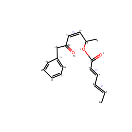 C/C=C/C=C/C(=O)OC(C)/C=C\C(=O)Cc1ccccc1